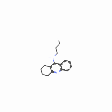 O=C(O)CCCNc1c2c(nc3ccccc13)CCCC2